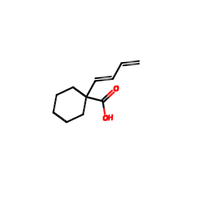 C=C/C=C/C1(C(=O)O)CCCCC1